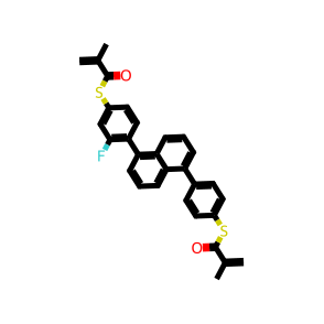 C=C(C)C(=O)Sc1ccc(-c2cccc3c(-c4ccc(SC(=O)C(=C)C)cc4F)cccc23)cc1